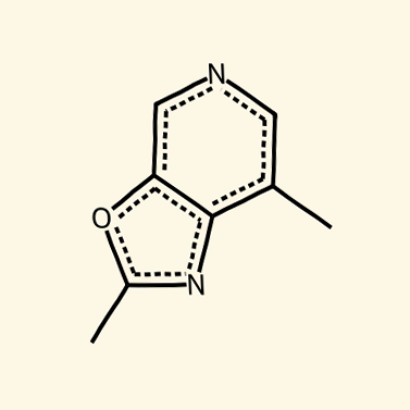 Cc1nc2c(C)cncc2o1